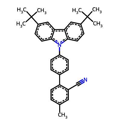 Cc1ccc(-c2ccc(-n3c4ccc(C(C)(C)C)cc4c4cc(C(C)(C)C)ccc43)cc2)c(C#N)c1